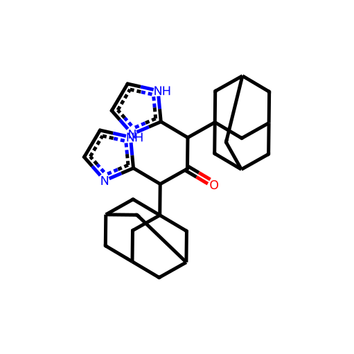 O=C(C(c1ncc[nH]1)C12CC3CC(CC(C3)C1)C2)C(c1ncc[nH]1)C12CC3CC(CC(C3)C1)C2